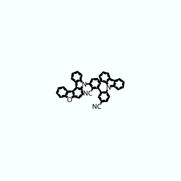 N#Cc1ccc(-n2c3ccccc3c3ccccc32)c(-c2cccc(-n3c4ccccc4c4c5c(ccc43)oc3ccccc35)c2C#N)c1